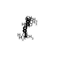 COc1cc2[nH]c(N3CCc4ccc(/N=C(\C)N(C)C)cc4C3)nc(=O)c2c(C)c1OC